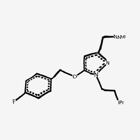 CNCc1cc(OCc2ccc(F)cc2)n(CCC(C)C)n1